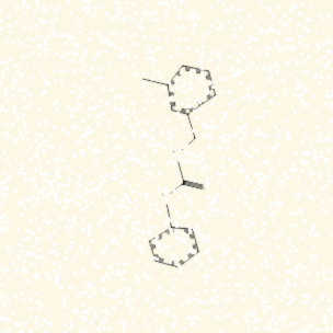 Cc1cccc(CNC(=O)Nc2ccccc2)c1